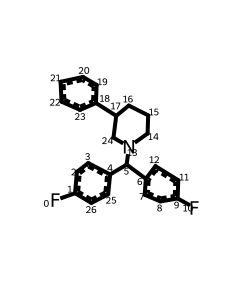 Fc1ccc(C(c2ccc(F)cc2)N2CCCC(c3ccccc3)C2)cc1